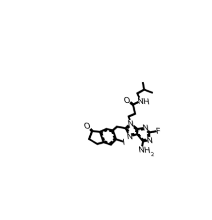 CC(C)CNC(=O)CCn1c(Cc2cc3c(cc2I)CCC3=O)nc2c(N)nc(F)nc21